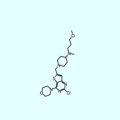 COCCCN(C)C1CCN(Cc2cc3nc(Cl)nc(N4CCOCC4)c3s2)CC1